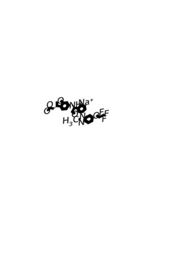 Cc1nc2ccc(OCC(F)(F)F)cc2n1-c1cccc2c1OC[C@H]2Nc1ccc2c(c1)OC[C@H]2CC(=O)[O-].[Na+]